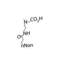 CCCCCCCCCCCC(=O)NCCCN(C)CC(=O)O